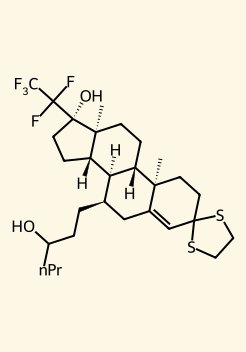 CCCC(O)CC[C@@H]1CC2=CC3(CC[C@]2(C)[C@H]2CC[C@@]4(C)[C@@H](CC[C@@]4(O)C(F)(F)C(F)(F)F)[C@H]12)SCCS3